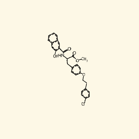 COC(=O)C(Cc1ccc(OCCc2ccc(Cl)cc2)cc1)NC(=O)c1cc2ccccc2cc1O